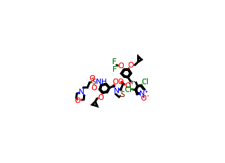 O=C(O[C@@H](Cc1c(Cl)c[n+]([O-])cc1Cl)c1ccc(OC(F)F)c(OCC2CC2)c1)C1SCCN1C(=O)c1cc(NS(=O)(=O)CCCN2CCOCC2)cc(OCC2CC2)c1